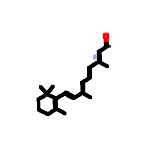 CC(C=CC1=C(C)CCCC1(C)C)=CC=C/C(C)=C/[C]=O